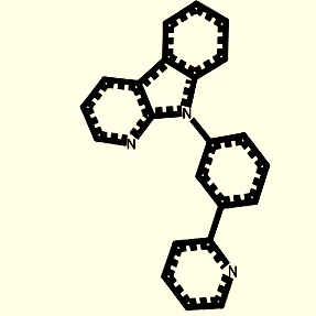 c1ccc(-c2cccc(-n3c4ccccc4c4cccnc43)c2)nc1